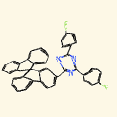 Fc1ccc(-c2nc(-c3ccc(F)cc3)nc(-c3ccc4c(c3)C3(c5ccccc5-c5ccccc53)c3ccccc3-4)n2)cc1